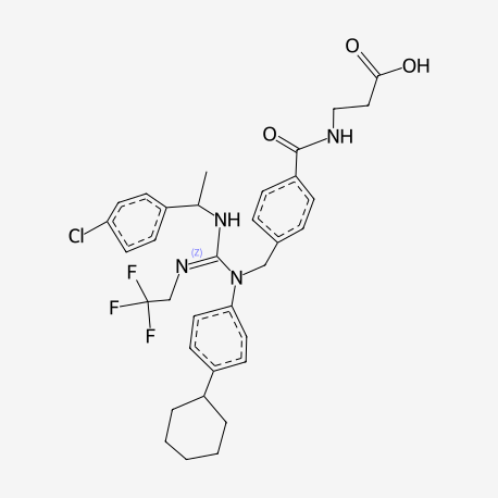 CC(N/C(=N/CC(F)(F)F)N(Cc1ccc(C(=O)NCCC(=O)O)cc1)c1ccc(C2CCCCC2)cc1)c1ccc(Cl)cc1